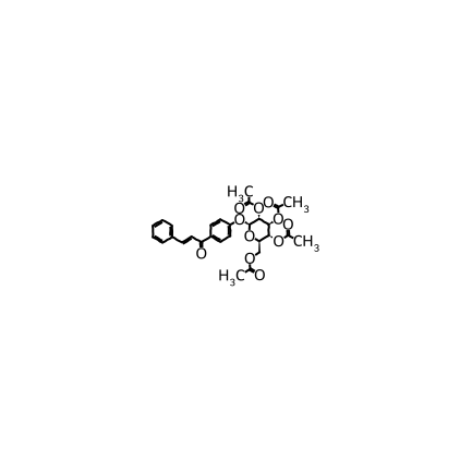 CC(=O)OC[C@H]1O[C@@H](Oc2ccc(C(=O)C=Cc3ccccc3)cc2)[C@H](OC(C)=O)[C@@H](OC(C)=O)[C@@H]1OC(C)=O